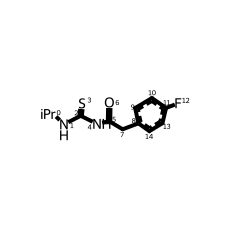 CC(C)NC(=S)NC(=O)Cc1ccc(F)cc1